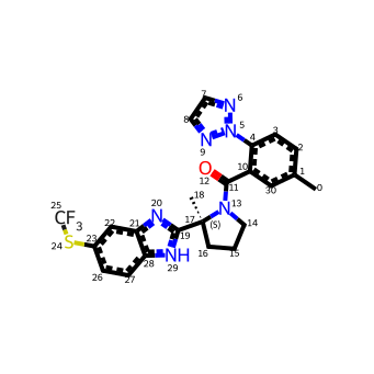 Cc1ccc(-n2nccn2)c(C(=O)N2CCC[C@@]2(C)c2nc3cc(SC(F)(F)F)ccc3[nH]2)c1